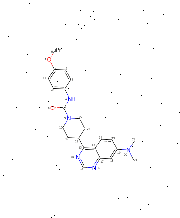 CC(C)Oc1ccc(NC(=O)N2CCC(c3ncnc4cc(N(C)C)ccc34)CC2)cc1